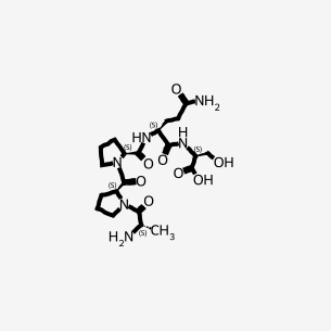 C[C@H](N)C(=O)N1CCC[C@H]1C(=O)N1CCC[C@H]1C(=O)N[C@@H](CCC(N)=O)C(=O)N[C@@H](CO)C(=O)O